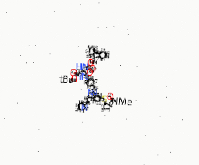 CNC(=O)c1ccccc1Sc1ccc2c(/C=C/c3ccccn3)nn(Cc3ccc(NC(=O)[C@H](CCC(=O)OC(C)(C)C)NC(=O)OCC4c5ccccc5-c5ccccc54)cc3)c2c1